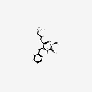 CC(C)(C)OC(=O)NC(Cc1ccccc1)C(=O)OCCC(=O)O